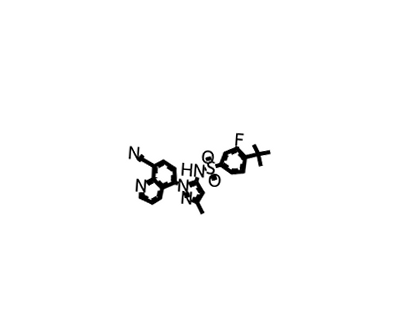 Cc1cc(NS(=O)(=O)c2ccc(C(C)(C)C)c(F)c2)n(-c2ccc(C#N)c3ncccc23)n1